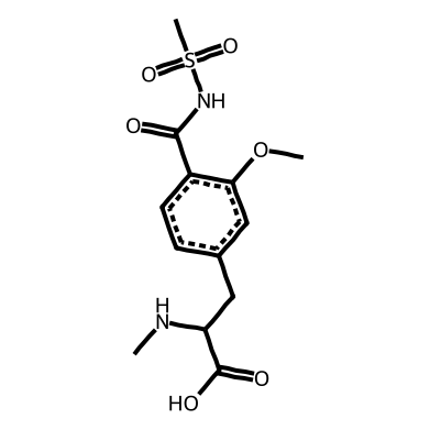 CNC(Cc1ccc(C(=O)NS(C)(=O)=O)c(OC)c1)C(=O)O